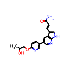 CC(O)COc1ccc(-c2cnc3[nH]cc(C=CC(N)=O)c3c2)cn1